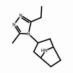 CCc1nnc(C)n1C1CC2CCC(C1)N2